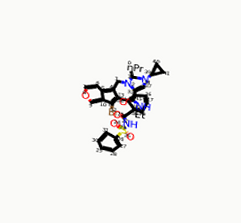 CCCC1N(Cc2c3ccocc-3c(Br)c2-c2ccccc2C(=O)NS(=O)(=O)c2ccccc2)C(C(=O)NCC)=CN1C1CC1